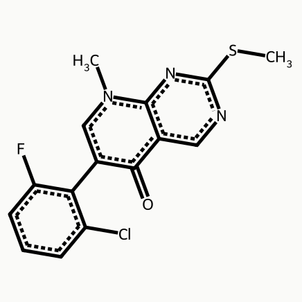 CSc1ncc2c(=O)c(-c3c(F)cccc3Cl)cn(C)c2n1